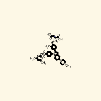 COc1ccc(-c2cc3c(n2-c2ccc(S(=O)(=O)Nc4nc(C)cc(C)n4)cc2)CCC(N2CCN(C)CC2)C3)cc1C.O=C(O)/C=C/C(=O)O